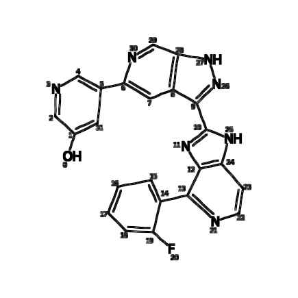 Oc1cncc(-c2cc3c(-c4nc5c(-c6ccccc6F)nccc5[nH]4)n[nH]c3cn2)c1